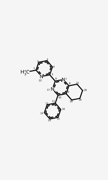 Cc1cccc(-c2nc3c(c(-c4ccccc4)n2)CCCC3)n1